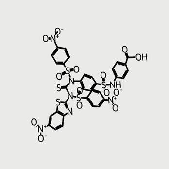 O=C(O)c1ccc(NS(=O)(=O)c2ccc(N(C(=S)N(c3nc4ccc([N+](=O)[O-])cc4s3)S(=O)(=O)c3ccc([N+](=O)[O-])cc3)S(=O)(=O)c3ccc([N+](=O)[O-])cc3)cc2)cc1